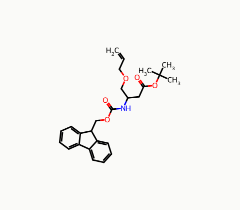 C=CCOCC(CC(=O)OC(C)(C)C)NC(=O)OCC1c2ccccc2-c2ccccc21